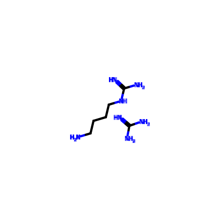 N=C(N)N.N=C(N)NCCCCN